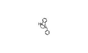 c1ccc(CN2CCC[C@H]3CC2c2ccccc23)cc1